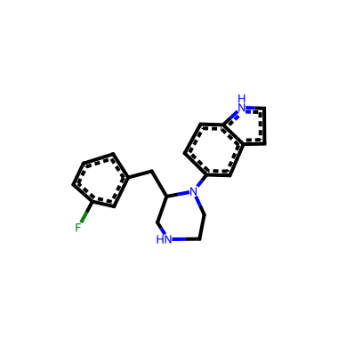 Fc1cccc(CC2CNCCN2c2ccc3[nH]ccc3c2)c1